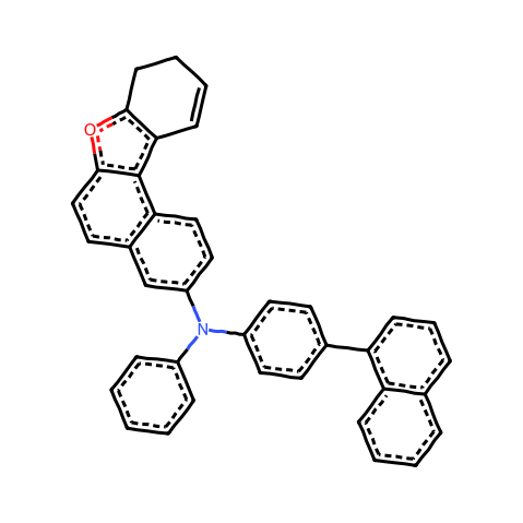 C1=Cc2c(oc3ccc4cc(N(c5ccccc5)c5ccc(-c6cccc7ccccc67)cc5)ccc4c23)CC1